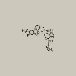 COCCNC(=O)c1nc[nH]c1C(=O)N[C@H]1CC[C@@]2(CCCN(c3cc(C)c(F)cc3Cl)C2=O)CC1